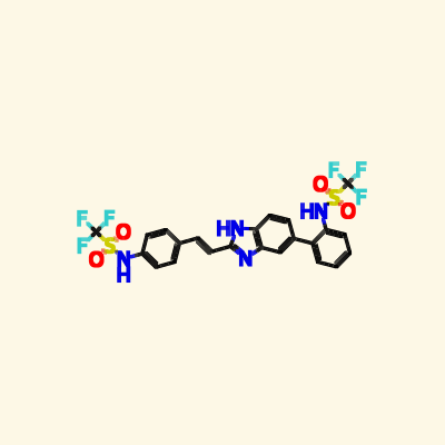 O=S(=O)(Nc1ccc(/C=C/c2nc3cc(-c4ccccc4NS(=O)(=O)C(F)(F)F)ccc3[nH]2)cc1)C(F)(F)F